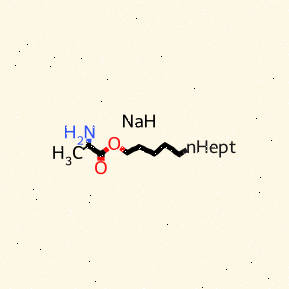 CCCCCCCCCCCCOC(=O)[C@H](C)N.[NaH]